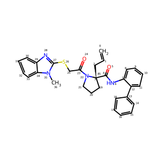 C=CC[C@@]1(C(=O)Nc2ccccc2-c2ccccc2)CCCN1C(=O)CSc1nc2ccccc2n1C